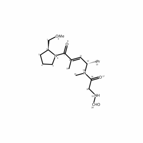 COC[C@@H]1CCCN1C(=O)/C(C)=C/[C@H](C(C)C)N(C)C(=O)CNC=O